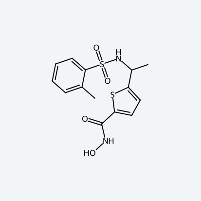 Cc1ccccc1S(=O)(=O)NC(C)c1ccc(C(=O)NO)s1